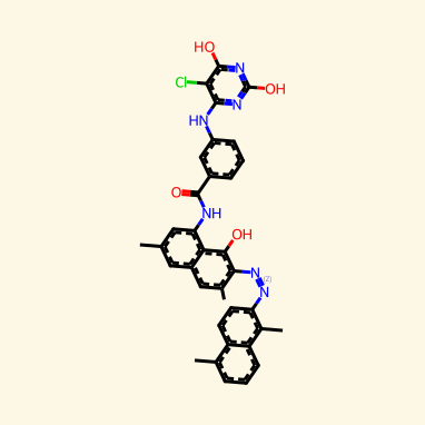 Cc1cc(NC(=O)c2cccc(Nc3nc(O)nc(O)c3Cl)c2)c2c(O)c(/N=N\c3ccc4c(C)cccc4c3C)c(C)cc2c1